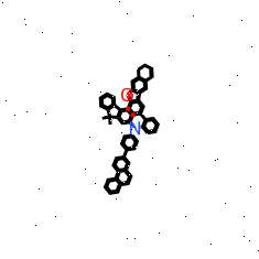 CC1(C)c2ccccc2-c2ccc(N(c3ccc(-c4ccc5c(ccc6ccccc65)c4)cc3)c3ccccc3-c3ccc4oc5cc6c(cc5c4c3)C=CCC6)cc21